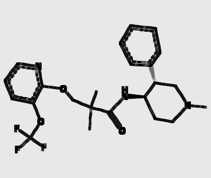 CN1CC[C@@H](NC(=O)C(C)(C)COc2ncccc2OC(F)(F)F)[C@H](c2ccccc2)C1